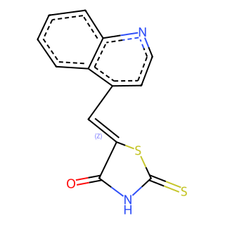 O=C1NC(=S)S/C1=C\c1ccnc2ccccc12